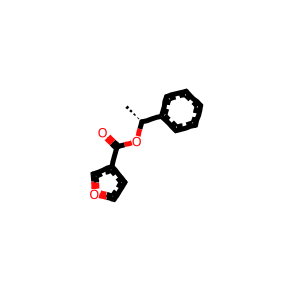 C[C@@H](OC(=O)c1ccoc1)c1ccccc1